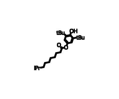 CC(C)CCCCCCCC(=O)Oc1cc(C(C)(C)C)c(O)c(C(C)(C)C)c1